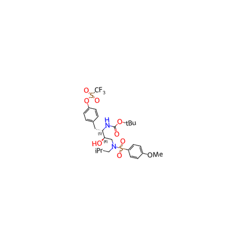 COc1ccc(S(=O)(=O)N(CC(C)C)C[C@@H](O)[C@H](Cc2ccc(OS(=O)(=O)C(F)(F)F)cc2)NC(=O)OC(C)(C)C)cc1